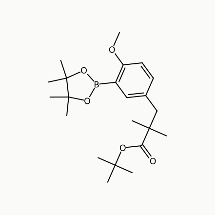 COc1ccc(CC(C)(C)C(=O)OC(C)(C)C)cc1B1OC(C)(C)C(C)(C)O1